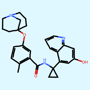 Cc1ccc(OC23CCCN(CCC2)C3)cc1C(=O)NC1(c2cc(O)cc3ncccc23)CC1